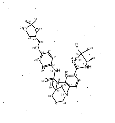 C[C@@H](NC(=O)c1ccc2c(n1)N(C(=O)Nc1ccc(OC[C@H]3COC(C)(C)O3)nn1)[C@H]1CCCN2C1)C(F)(F)F